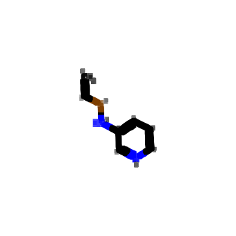 C=CSNc1cccnc1